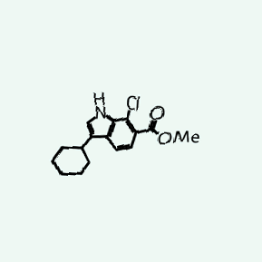 COC(=O)c1ccc2c(C3CCCCC3)c[nH]c2c1Cl